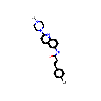 CCN1CCN(c2ccc3cc(NC(=O)C=Cc4ccc(C)cc4)ccc3n2)CC1